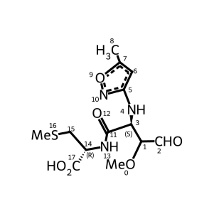 COC(C=O)[C@H](Nc1cc(C)on1)C(=O)N[C@@H](CSC)C(=O)O